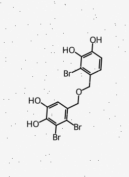 Oc1ccc(COCc2cc(O)c(O)c(Br)c2Br)c(Br)c1O